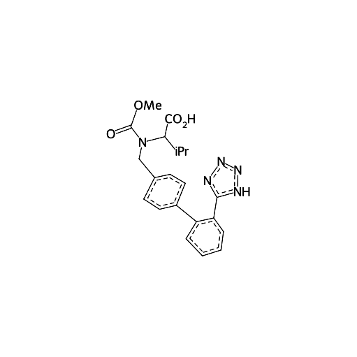 COC(=O)N(Cc1ccc(-c2ccccc2-c2nnn[nH]2)cc1)C(C(=O)O)C(C)C